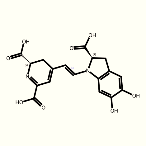 O=C(O)C1=N[C@H](C(=O)O)CC(/C=C/N2c3cc(O)c(O)cc3C[C@@H]2C(=O)O)=C1